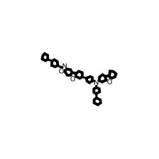 c1ccc(-c2ccc(-c3nc4cc5c(cc4o3)oc3cc(-c4ccc(N(c6ccc(-c7ccccc7)cc6)c6ccc7c(c6)oc6ccccc67)cc4)ccc35)cc2)cc1